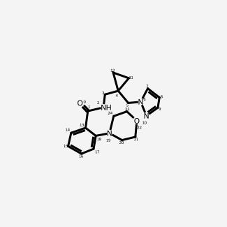 O=C(NCC1(Cn2cccn2)CC1)c1ccccc1N1CCOCC1